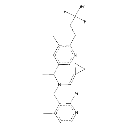 CCc1nccc(C)c1CN(C=C1CC1)C(C)c1cnc(CCC(F)(F)C(C)C)c(C)c1